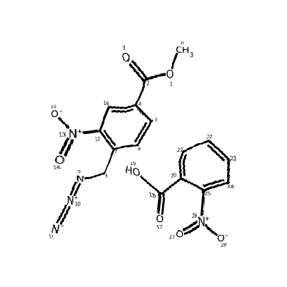 COC(=O)c1ccc(CN=[N+]=[N-])c([N+](=O)[O-])c1.O=C(O)c1ccccc1[N+](=O)[O-]